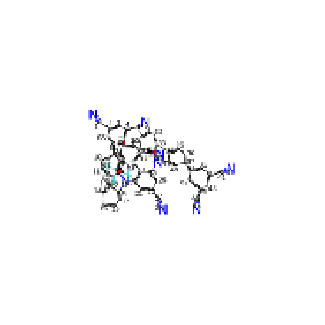 N#Cc1cc(C#N)cc(-c2ccc3c4ccccc4n(-c4cc(C#N)cc(-n5c6ccccc6c6ccc(-c7cc(C#N)cc(C#N)c7)cc65)c4-c4c(C#N)cccc4C(F)(F)F)c3c2)c1